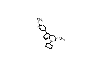 COc1ccc(-c2ccc3c(c2)CN(C)CC3c2ccccc2)cn1